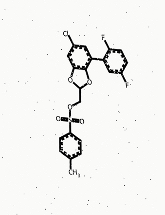 Cc1ccc(S(=O)(=O)OCC2Oc3cc(Cl)cc(-c4cc(F)ccc4F)c3O2)cc1